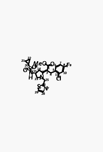 COC(=O)/C(Cc1ccc(F)cc1Cl)=C1\C[C@H](NS(=O)(=O)C2CC2)CN1Cc1nccs1